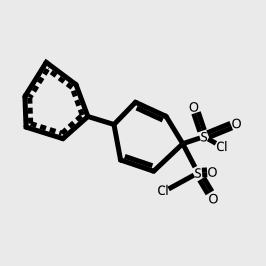 O=S(=O)(Cl)C1(S(=O)(=O)Cl)C=CC(c2ccccc2)C=C1